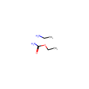 CCN.CCOC(N)=O